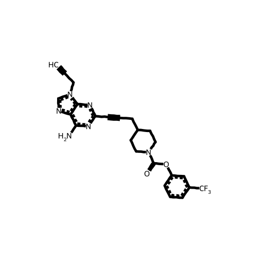 C#CCn1cnc2c(N)nc(C#CCC3CCN(C(=O)Oc4cccc(C(F)(F)F)c4)CC3)nc21